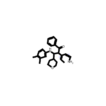 C/C=C(\C=C/N)C(C(=O)c1ccccc1)C(Nc1ccc(C)c(C)c1)C1CCOCC1